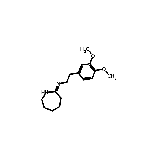 COc1ccc(CCN=C2CCCCCN2)cc1OC